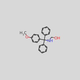 COc1ccc(C(NCO)(c2ccccc2)c2ccccc2)cc1